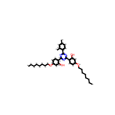 CCCCCCCCOc1ccc(-c2nc(-c3ccc(C)cc3C)nc(-c3ccc(OCCCCCCCC)cc3O)n2)c(O)c1